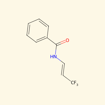 O=C(N/C=C/C(F)(F)F)c1ccccc1